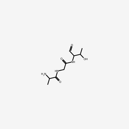 CC(N)C(=O)NCC(=O)NC([C]=O)C(C)O